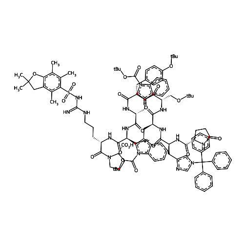 Cc1c(C)c(S(=O)(=O)NC(=N)NCCC[C@H](NC(=O)[C@H](CC(C)C)NC(=O)[C@@H](Cc2cn(C(=O)OC(C)(C)C)c3ccccc23)NC(=O)[C@H](Cc2ccc(OC(C)(C)C)cc2)NC(=O)[C@H](COC(C)(C)C)NC(=O)[C@H](Cc2cn(C(=O)OC(C)(C)C)c3ccccc23)NC(=O)[C@H](Cc2cn(C(c3ccccc3)(c3ccccc3)c3ccccc3)cn2)NC(=O)[C@@H]2CCC(=O)N2)C(=O)N2CCC[C@H]2C(=O)O)c(C)c2c1OC(C)(C)C2